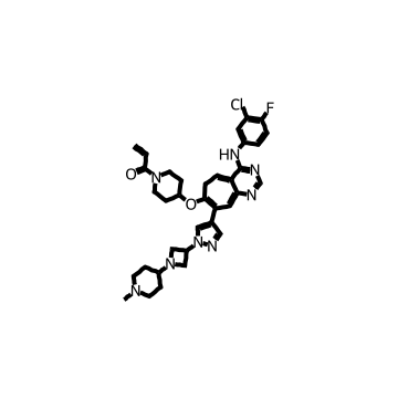 C=CC(=O)N1CCC(OC2=C(c3cnn(C4CN(C5CCN(C)CC5)C4)c3)C=c3ncnc(Nc4ccc(F)c(Cl)c4)c3=CC2)CC1